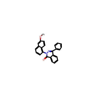 CC(C)Oc1ccc2c(-n3nc(-c4ccccc4)c4ccccc4c3=O)cccc2c1